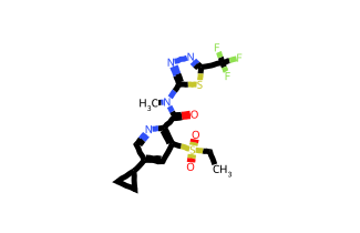 CCS(=O)(=O)c1cc(C2CC2)cnc1C(=O)N(C)c1nnc(C(F)(F)F)s1